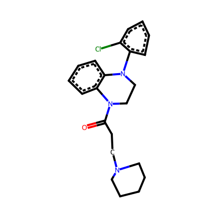 O=C(CCN1CCCCC1)N1CCN(c2ccccc2Cl)c2ccccc21